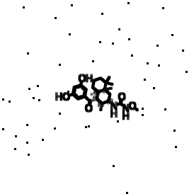 CONC(=O)N[C@@H]1C[C@@]2(C)C(C)(C)CCC[C@]2(C)[C@@H](C(=O)c2cc(O)cc(O)c2)[C@@H]1C